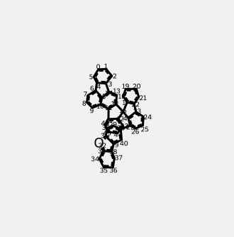 c1ccc2c(c1)-c1cccc3c4c(cc-2c13)C1(c2ccccc2-c2cccc(-c3ccc5oc6ccccc6c5c3)c21)c1ccccc1-4